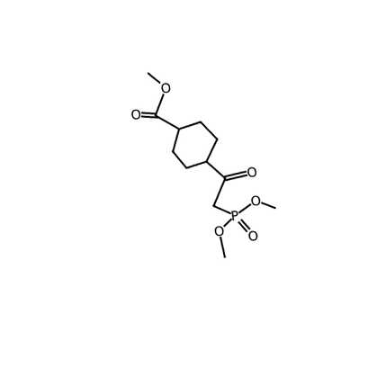 COC(=O)C1CCC(C(=O)CP(=O)(OC)OC)CC1